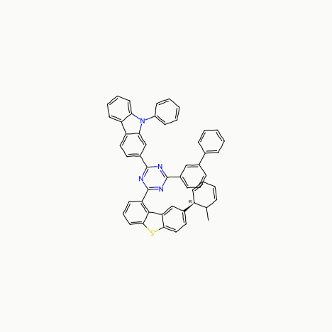 CC1C=CC=C[C@@H]1c1ccc2sc3cccc(-c4nc(-c5cccc(-c6ccccc6)c5)nc(-c5ccc6c7ccccc7n(-c7ccccc7)c6c5)n4)c3c2c1